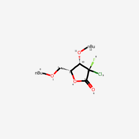 CCCCOC[C@H]1OC(=O)[C@@](F)(Cl)[C@H]1OCCCC